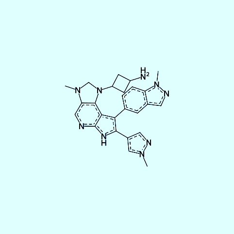 CN1CN(C2CC(N)C2)c2c1cnc1[nH]c(-c3cnn(C)c3)c(-c3ccc4c(cnn4C)c3)c21